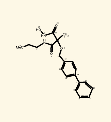 COCCNC(=O)C(C)(OCc1ccc(-c2ccccc2)cc1)C(=O)NO